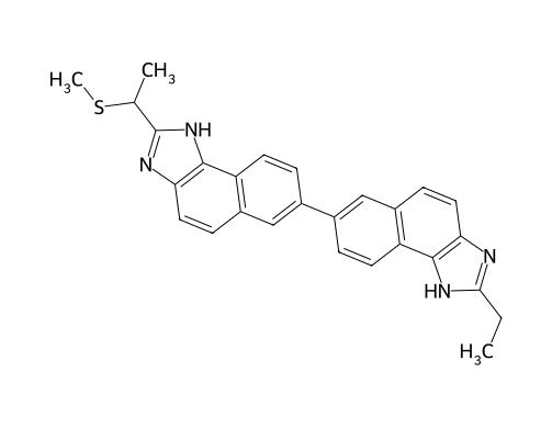 CCc1nc2ccc3cc(-c4ccc5c(ccc6nc(C(C)SC)[nH]c65)c4)ccc3c2[nH]1